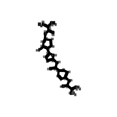 C=C(C)C(=O)Oc1ccc(C(=O)Oc2ccc(-c3ccc(OC(=O)C(=C)C)cc3F)o2)cc1